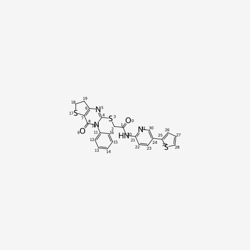 O=C(CSc1nc2c(c(=O)n1-c1ccccc1)SCC2)Nc1ccc(-c2cccs2)cn1